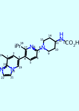 Cc1cc(-c2ccc(N3CCC(NC(=O)O)CC3)nc2C(C)C)cn2ccnc12